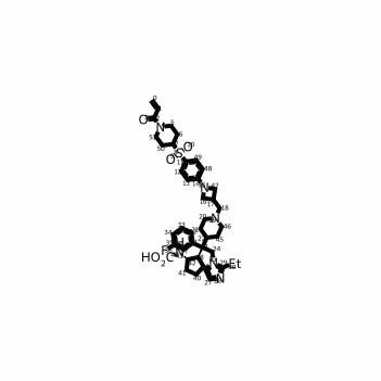 C=CC(=O)N1CCC(S(=O)(=O)c2ccc(N3CC(CN4CCC(C(Cn5ccnc5CC)(c5cccc(F)c5)[C@H]5CCC[C@@H]5NC(=O)O)CC4)C3)cc2)CC1